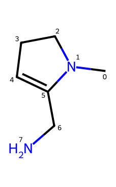 CN1CCC=C1CN